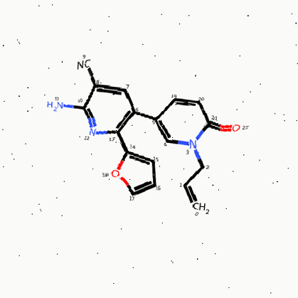 C=CCn1cc(-c2cc(C#N)c(N)nc2-c2ccco2)ccc1=O